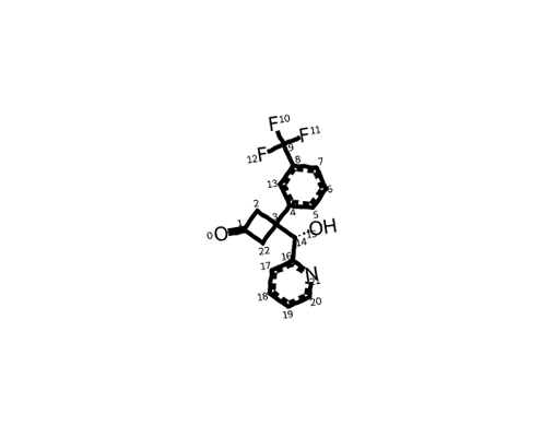 O=C1CC(c2cccc(C(F)(F)F)c2)([C@H](O)c2ccccn2)C1